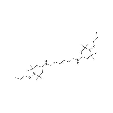 CCCON1C(C)(C)CC(NCCCCCCNC2CC(C)(C)N(OCCC)C(C)(C)C2)CC1(C)C